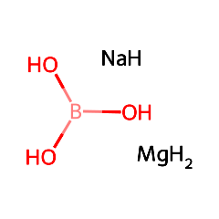 OB(O)O.[MgH2].[NaH]